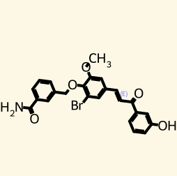 COc1cc(/C=C/C(=O)c2cccc(O)c2)cc(Br)c1OCc1cccc(C(N)=O)c1